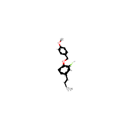 CCOc1ccc(COc2ccc(CCC(=O)O)cc2F)cc1